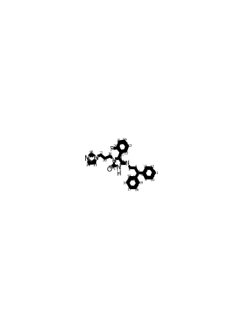 O=C1NC(=NCCC(c2ccccc2)c2ccccc2)C(c2ccccc2F)N1CCCn1ccnc1